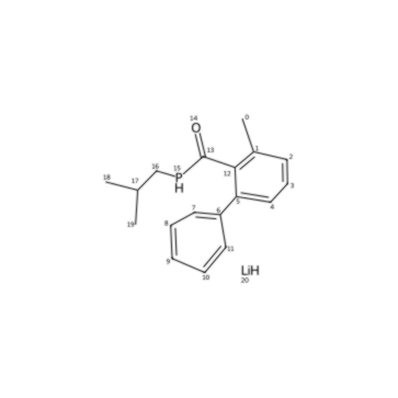 Cc1cccc(-c2ccccc2)c1C(=O)PCC(C)C.[LiH]